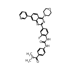 CN(C)C(=O)c1ccc(NC(=O)Nc2ccc(-c3nc(N4CCOCC4)c4ccc(-c5cccnc5)cc4n3)cc2F)cc1